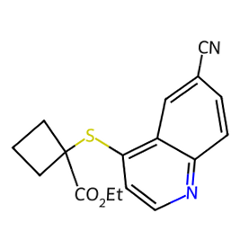 CCOC(=O)C1(Sc2ccnc3ccc(C#N)cc23)CCC1